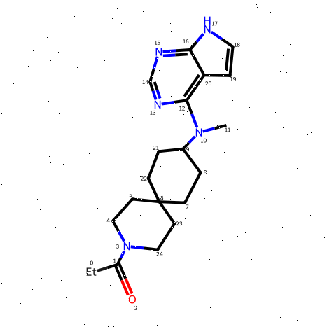 CCC(=O)N1CCC2(CCC(N(C)c3ncnc4[nH]ccc34)CC2)CC1